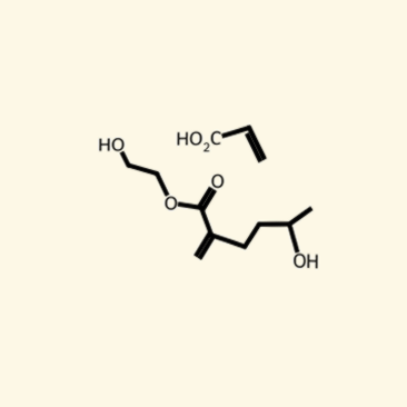 C=C(CCC(C)O)C(=O)OCCO.C=CC(=O)O